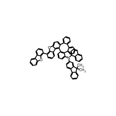 CC1(C)c2ccccc2-c2ccc(N(c3cccc4c3-c3ccccc3-c3ccccc3-c3ccc5oc6c(-c7cccc8c7oc7ccccc78)cccc6c5c3-4)c3cccc4ccccc34)cc21